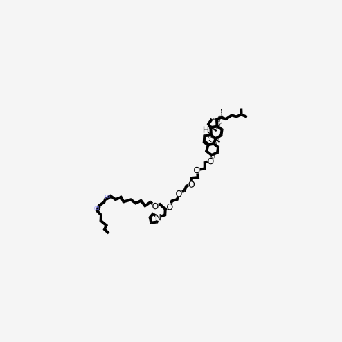 CCCCC/C=C\C/C=C\CCCCCCCCOCC(CN1CCCC1)OCCOCCOCCOCCO[C@H]1CC[C@@]2(C)C(=CC[C@@H]3[C@]2(C)CC[C@]2(C)[C@@H]([C@H](C)CCCC(C)C)CC[C@@]32C)C1